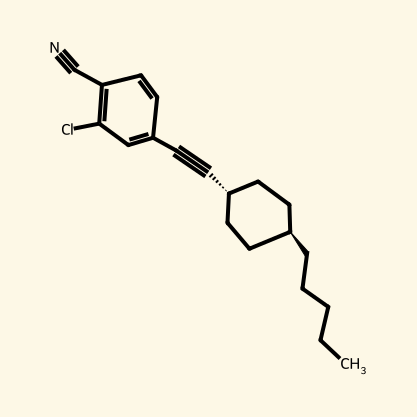 CCCCC[C@H]1CC[C@H](C#Cc2ccc(C#N)c(Cl)c2)CC1